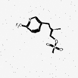 C[C@@H](COS(C)(=O)=O)Cc1ccc(C(F)(F)F)nc1